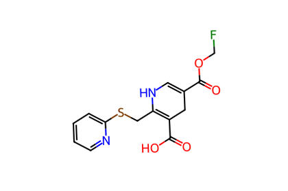 O=C(O)C1=C(CSc2ccccn2)NC=C(C(=O)OCF)C1